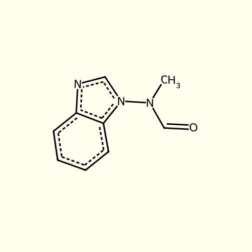 CN(C=O)n1cnc2ccccc21